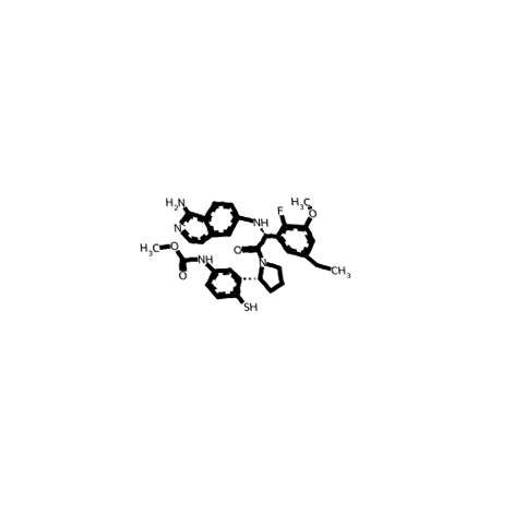 CCc1cc(OC)c(F)c([C@@H](Nc2ccc3c(N)nccc3c2)C(=O)N2CCC[C@@H]2c2cc(NC(=O)OC)ccc2S)c1